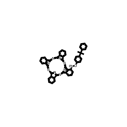 CC(C)(c1ccccc1)c1ccc([O][Pb][c]2cccc3c4nc5nc(nc6[nH]c(nc7nc(nc([nH]4)c23)-c2ccccc2-7)c2ccccc62)-c2ccccc2-5)cc1